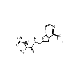 CC(NC(=O)O)C(=O)NCc1cc2c(N)nccc2s1